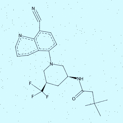 CC(C)(C)CC(=O)N[C@H]1C[C@@H](C(F)(F)F)CN(c2ccc(C#N)c3ncccc23)C1